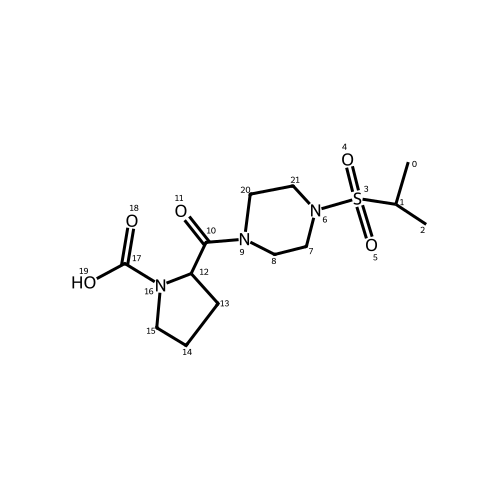 CC(C)S(=O)(=O)N1CCN(C(=O)C2CCCN2C(=O)O)CC1